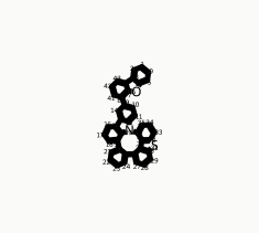 c1ccc2c(c1)oc1c(-c3ccc4c(c3)c3cccc5c6ccccc6c6cccc7sc8cccc(c8c76)n4c53)cccc12